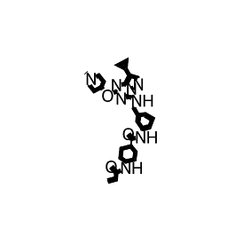 C=CC(=O)N[C@H]1CC[C@@H](C(=O)Nc2cccc(CNc3nc(OC4CCN(C)CC4)nc4c(C5CC5)cnn34)c2)CC1